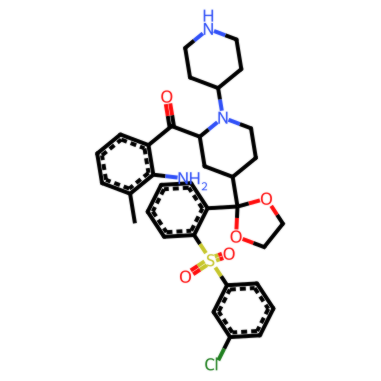 Cc1cccc(C(=O)C2CC(C3(c4ccccc4S(=O)(=O)c4cccc(Cl)c4)OCCO3)CCN2C2CCNCC2)c1N